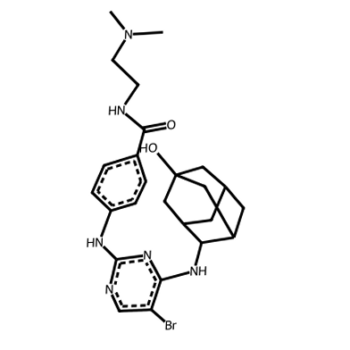 CN(C)CCNC(=O)c1ccc(Nc2ncc(Br)c(NC3C4CC5CC3CC(O)(C5)C4)n2)cc1